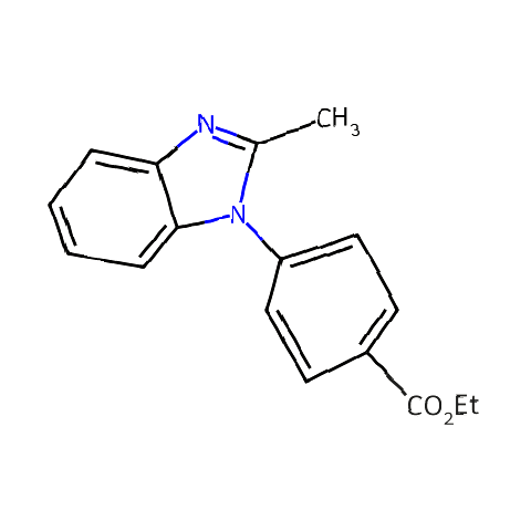 CCOC(=O)c1ccc(-n2c(C)nc3ccccc32)cc1